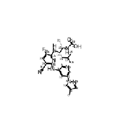 Cc1cnn(-c2cncc(Nc3nc(N[C@@H](CC(C)C)[C@H](C)NC(=O)O)c(F)cc3C#N)c2)c1